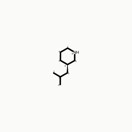 CC(C)C[C@H]1CCCNC1